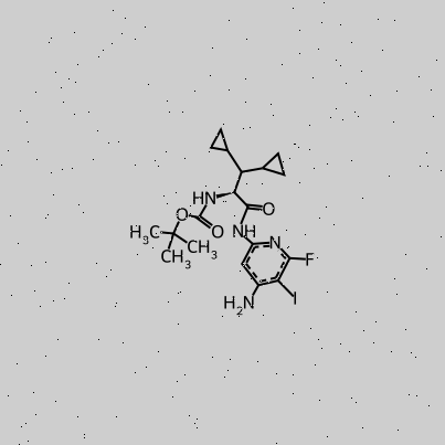 CC(C)(C)OC(=O)N[C@H](C(=O)Nc1cc(N)c(I)c(F)n1)C(C1CC1)C1CC1